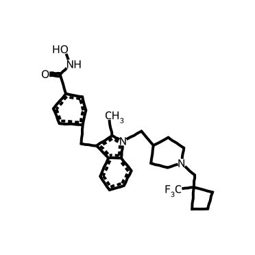 Cc1c(Cc2ccc(C(=O)NO)cc2)c2ccccc2n1CC1CCN(CC2(C(F)(F)F)CCC2)CC1